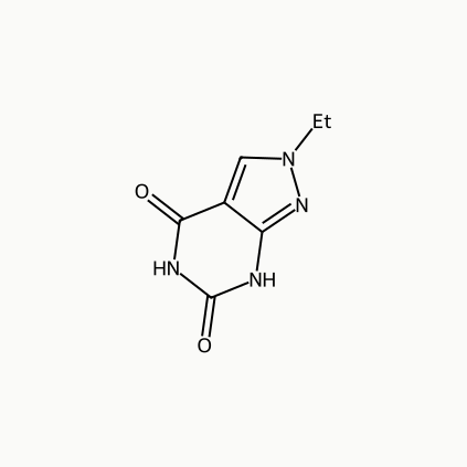 CCn1cc2c(=O)[nH]c(=O)[nH]c2n1